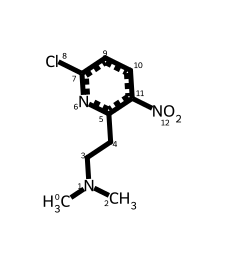 CN(C)CCc1nc(Cl)ccc1[N+](=O)[O-]